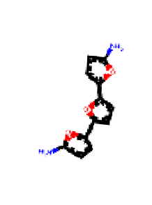 Nc1ccc(-c2ccc(-c3ccc(N)o3)o2)o1